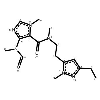 CCc1cc(CCN(C)C(=O)c2c(N(C)C=O)ncn2C)n(C)n1